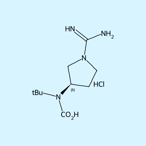 CC(C)(C)N(C(=O)O)[C@@H]1CCN(C(=N)N)C1.Cl